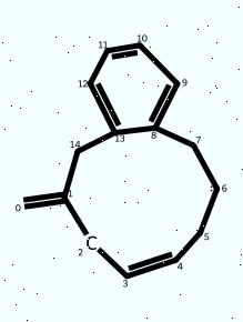 C=C1C/C=C\C[C]Cc2ccccc2C1